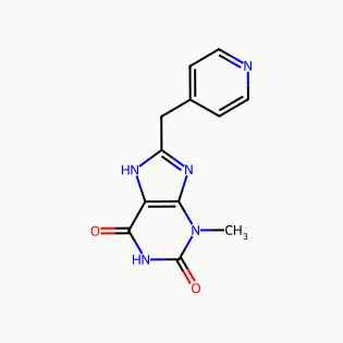 Cn1c(=O)[nH]c(=O)c2[nH]c(Cc3ccncc3)nc21